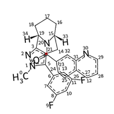 Cn1nc2c(c1-c1cc(F)cc(F)c1)C[C@H]1CCC[C@@H]2N1C(=O)c1ccc2cccnc2c1